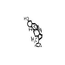 C[C@]12CC[C@H]3[C@@H](CC=C4C[C@@H](O)CC[C@@]43C)C1=CC=C2c1cncnc1